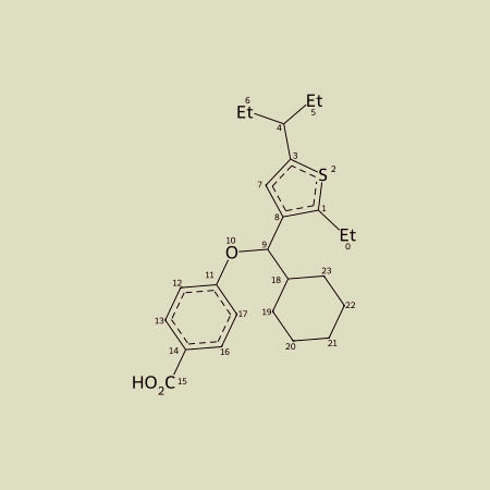 CCc1sc(C(CC)CC)cc1C(Oc1ccc(C(=O)O)cc1)C1CCCCC1